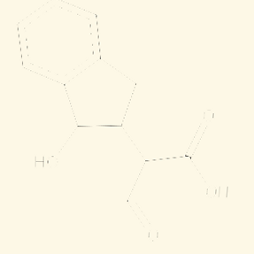 O=CC(C(=O)O)C1Cc2ccccc2C1O